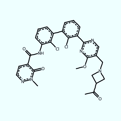 COc1nc(-c2cccc(-c3cccc(NC(=O)c4ccnn(C)c4=O)c3Cl)c2Cl)ncc1CN1CC(C(C)=O)C1